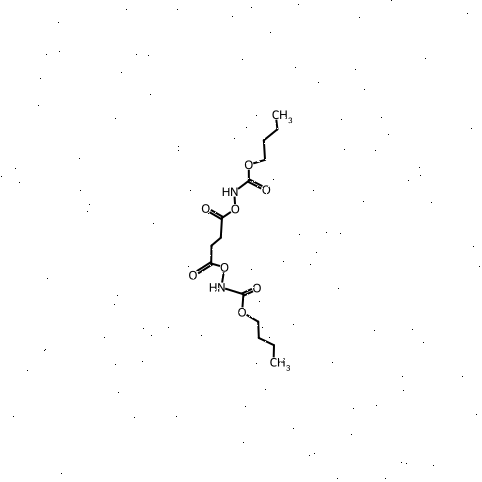 CCCCOC(=O)NOC(=O)CCC(=O)ONC(=O)OCCCC